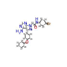 Nc1ncnc2c1c(-c1ccc(Oc3ccccc3)cc1)nn2CC(=O)Nc1ccc(Br)cc1